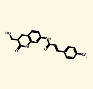 O=C(/C=C/c1ccc(C(F)(F)F)cc1)Nc1ccc2c(c1)NC(=O)C(CO)C2